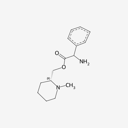 CN1CCCC[C@@H]1COC(=O)C(N)c1ccccc1